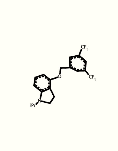 CC(C)N1CCc2c(OCc3cc(C(F)(F)F)cc(C(F)(F)F)c3)cccc21